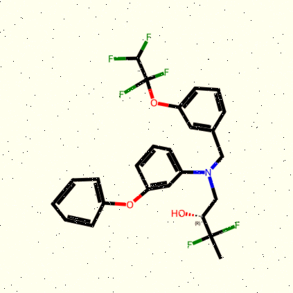 CC(F)(F)[C@H](O)CN(Cc1cccc(OC(F)(F)C(F)F)c1)c1cccc(Oc2ccccc2)c1